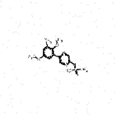 COc1cc(N)c(OC)c(-c2cnc(N=S(C)(C)=O)cn2)c1